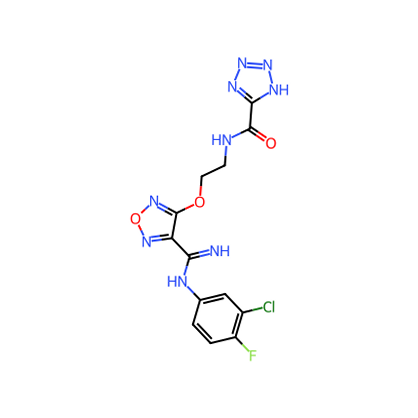 N=C(Nc1ccc(F)c(Cl)c1)c1nonc1OCCNC(=O)c1nnn[nH]1